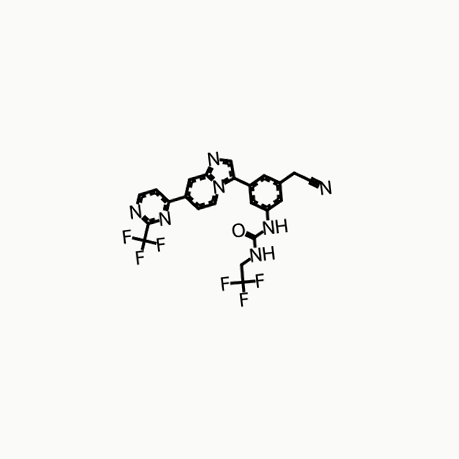 N#CCc1cc(NC(=O)NCC(F)(F)F)cc(-c2cnc3cc(-c4ccnc(C(F)(F)F)n4)ccn23)c1